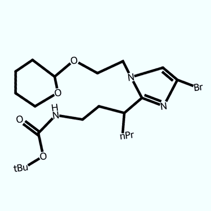 CCCC(CCNC(=O)OC(C)(C)C)c1nc(Br)cn1CCOC1CCCCO1